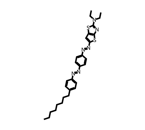 CCCCCCCCc1ccc(N=Nc2ccc(N=Nc3cc4sc(N(CC)CC)nc4s3)cc2)cc1